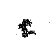 CCOc1ncccc1-c1cc(C2CCCN2C(=O)OC(C)(C)C)on1